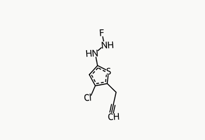 C#CCc1sc(NNF)cc1Cl